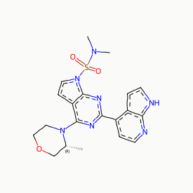 C[C@@H]1COCCN1c1nc(-c2ccnc3[nH]ccc23)nc2c1ccn2S(=O)(=O)N(C)C